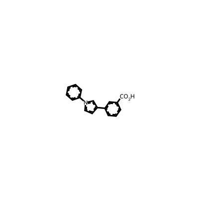 O=C(O)c1cccc(-c2ccn(-c3ccccc3)c2)c1